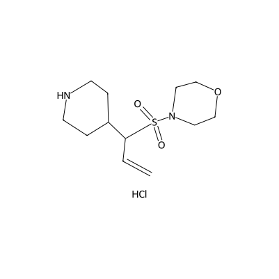 C=CC(C1CCNCC1)S(=O)(=O)N1CCOCC1.Cl